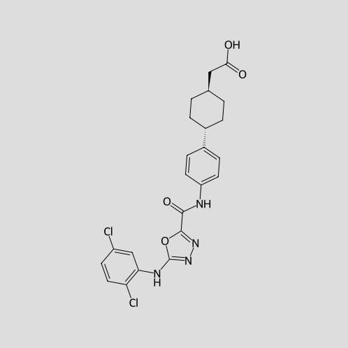 O=C(O)C[C@H]1CC[C@H](c2ccc(NC(=O)c3nnc(Nc4cc(Cl)ccc4Cl)o3)cc2)CC1